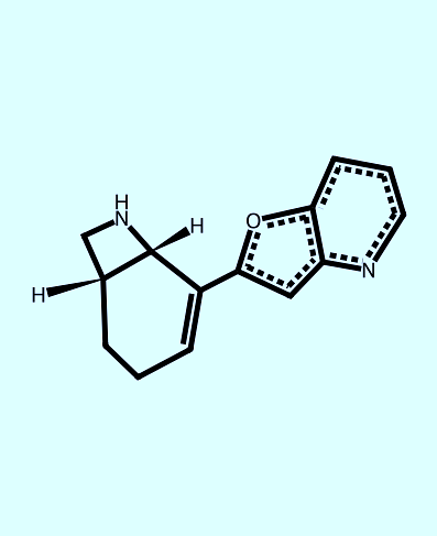 C1=C(c2cc3ncccc3o2)[C@H]2NC[C@H]2CC1